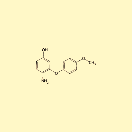 COc1ccc(Oc2cc(O)ccc2N)cc1